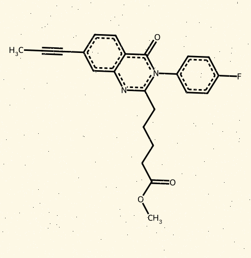 CC#Cc1ccc2c(=O)n(-c3ccc(F)cc3)c(CCCCC(=O)OC)nc2c1